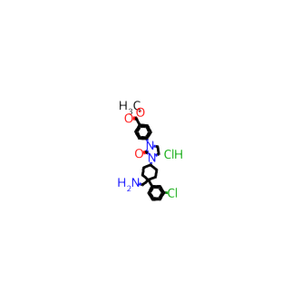 COC(=O)c1ccc(N2CCN(C3CCC(CN)(c4cccc(Cl)c4)CC3)C2=O)cc1.Cl